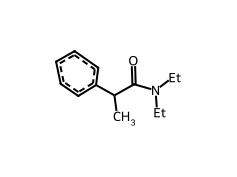 CCN(CC)C(=O)C(C)c1ccccc1